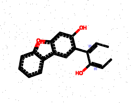 C/C=C(\C(O)=C/C)c1cc2c(cc1O)oc1ccccc12